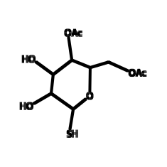 CC(=O)OCC1OC(S)C(O)C(O)C1OC(C)=O